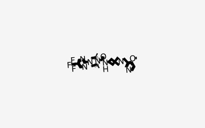 COc1ccncc1CN1CC2(CC(NC(=O)N3[C@H](C)CN(c4ncc(C(F)(F)F)cn4)C[C@@H]3C)C2)C1